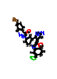 Cc1cc(Br)ccc1C(=O)Nc1cccc(-c2n[nH]cc2-c2nc3cc(Cl)ccc3o2)c1